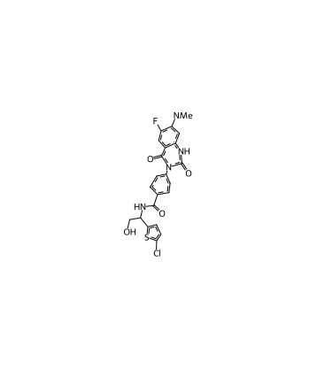 CNc1cc2[nH]c(=O)n(-c3ccc(C(=O)NC(CO)c4ccc(Cl)s4)cc3)c(=O)c2cc1F